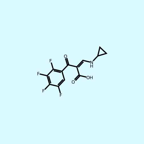 O=C(O)C(=CNC1CC1)C(=O)c1cc(F)c(F)c(F)c1F